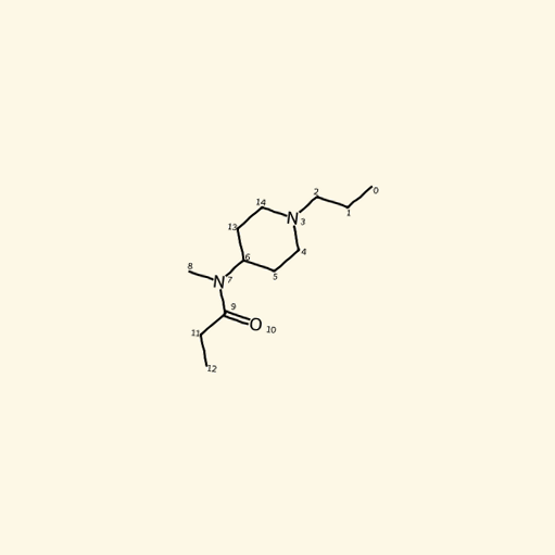 CCCN1CCC(N(C)C(=O)CC)CC1